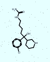 NC(=O)NCCCCC(O)(c1cccc(Cl)c1)C1CCCNC1